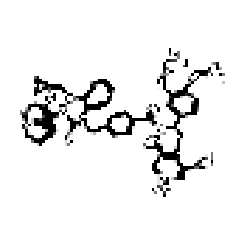 COc1ccc(C(Cc2c(Cl)c[n+]([O-])cc2Cl)OC(=O)c2ccc(CN(C(=O)O[C@H]3CN4CCC3CC4)c3ccccc3OCC3CC3)cc2)cc1OC